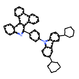 c1ccc2c(c1)nc(-c1ccc(-n3c4ccc(C5CCCCC5)cc4c4cc(C5CCCCC5)ccc43)cc1)c1c3ccccc3c3ccccc3c21